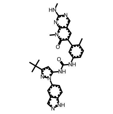 CNc1ncc2cc(-c3cc(NC(=O)Nc4cc(C(C)(C)C)nn4-c4ccc5[nH]ncc5c4)ccc3C)c(=O)n(C)c2n1